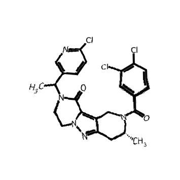 CC(c1ccc(Cl)nc1)N1CCn2nc3c(c2C1=O)CN(C(=O)c1ccc(Cl)c(Cl)c1)[C@H](C)C3